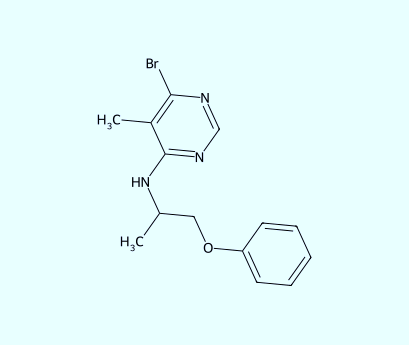 Cc1c(Br)ncnc1NC(C)COc1ccccc1